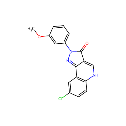 COc1cccc(-n2nc3c4cc(Cl)ccc4[nH]cc-3c2=O)c1